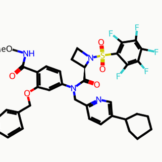 CONC(=O)c1ccc(N(Cc2ccc(C3CCCCC3)cn2)C(=O)[C@H]2CCN2S(=O)(=O)c2c(F)c(F)c(F)c(F)c2F)cc1OCc1ccccc1